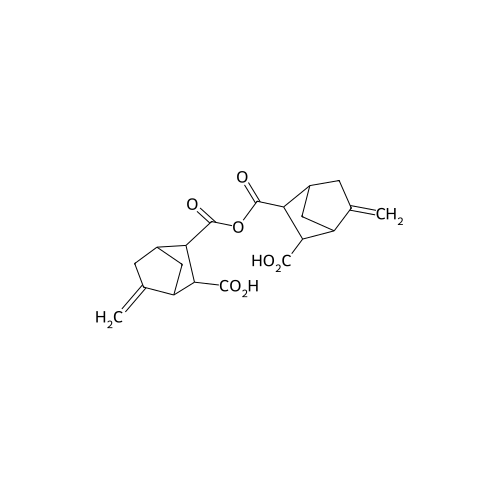 C=C1CC2CC1C(C(=O)O)C2C(=O)OC(=O)C1C2CC(=C)C(C2)C1C(=O)O